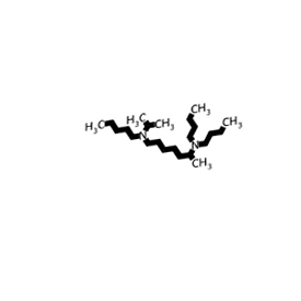 CCCCCN(CCCCCC(C)N(CCCC)CCCC)C(C)C